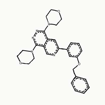 c1ccc(COc2cccc(-c3cc4c(N5CCOCC5)nnc(N5CCOCC5)c4cn3)c2)cc1